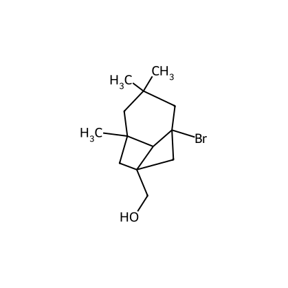 CC1(C)CC2(C)CC3(CO)CC(Br)(C1)C23